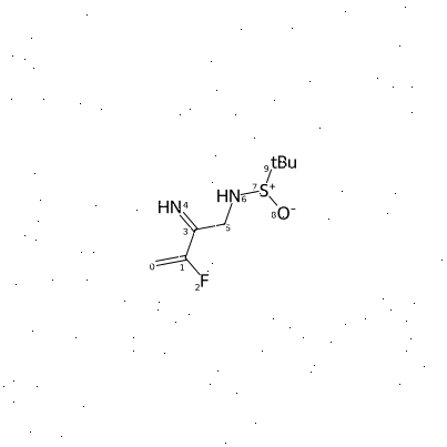 C=C(F)C(=N)CN[S+]([O-])C(C)(C)C